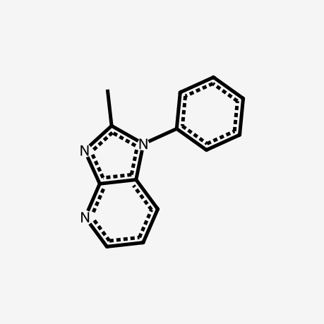 Cc1nc2ncccc2n1-c1ccccc1